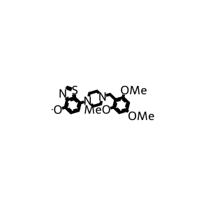 COc1cc(OC)c(CN2CCN(c3ccc([O])c4ncsc34)CC2)c(OC)c1